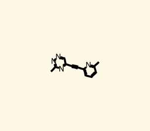 Cc1cccc(C#Cc2cnnc(C)n2)n1